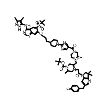 Cc1n[nH]c(Nc2ncnc3cc(OCCCC4CCN(c5ncc(C(=O)N6CCN(CC7CN(C(=O)OC(C)(C)C)C(C)CN7CC(=O)N7CC(C)(C)c8ncc(Cc9ccc(F)cc9)cc87)[C@H](C)C6)cn5)CC4)c(S(=O)(=O)C(C)(C)C)cc23)c1C